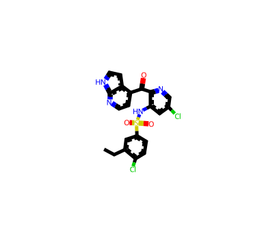 CCc1cc(S(=O)(=O)Nc2cc(Cl)cnc2C(=O)c2ccnc3[nH]ccc23)ccc1Cl